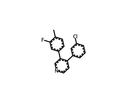 Cc1ccc(-c2cnccc2-c2cccc(Cl)c2)cc1F